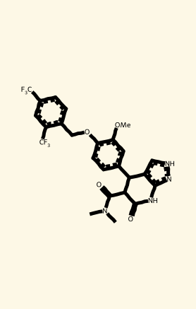 COc1cc(C2c3c[nH]nc3NC(=O)C2C(=O)N(C)C)ccc1OCc1ccc(C(F)(F)F)cc1C(F)(F)F